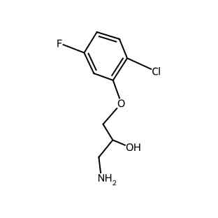 NCC(O)COc1cc(F)ccc1Cl